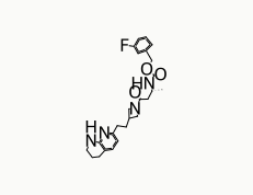 C[C@H](CC(=O)N1CC(CCc2ccc3c(n2)NCCC3)C1)NC(=O)OCc1cccc(F)c1